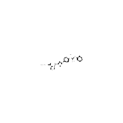 COC(=O)[C@@H]1CCCN1C(=O)c1cc(-c2ccc(NC(=O)Nc3ccccc3F)cc2)no1